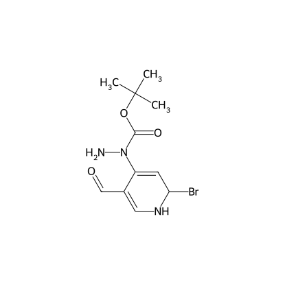 CC(C)(C)OC(=O)N(N)C1=CC(Br)NC=C1C=O